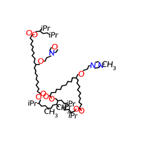 CC(C)CCC(COC(=O)CCCCCCCCCC(CCCCCCCCCC(=O)OCC(CCC(C)CCC(C)C(CCC(C)C)COC(=O)CCCCCCCCCC(CCCCCCCCCC(=O)OCC(CCC(C)C)C(C)C)COCCCN1CCN(C)CC1)C(C)C)COCCCN1CCOCC1)C(C)C